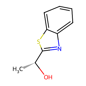 C[C@@H](O)c1nc2ccccc2s1